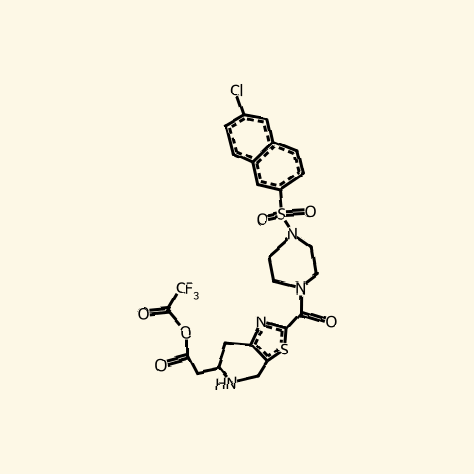 O=C(CC1Cc2nc(C(=O)N3CCN(S(=O)(=O)c4ccc5cc(Cl)ccc5c4)CC3)sc2CN1)OC(=O)C(F)(F)F